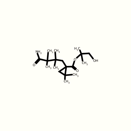 CC(C)(CO)OC(=O)C1(CC(C)(C)C(C)(C)C(N)=O)CC1(C)C